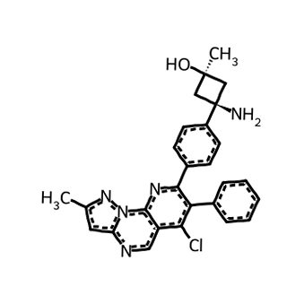 Cc1cc2ncc3c(Cl)c(-c4ccccc4)c(-c4ccc([C@]5(N)C[C@@](C)(O)C5)cc4)nc3n2n1